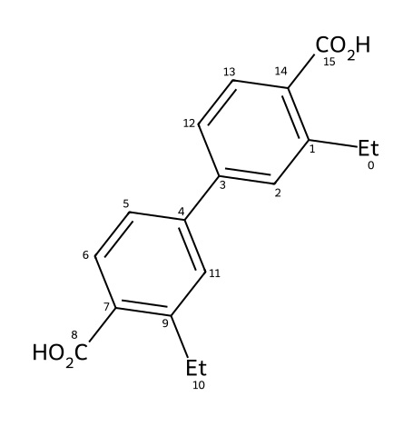 CCc1cc(-c2ccc(C(=O)O)c(CC)c2)ccc1C(=O)O